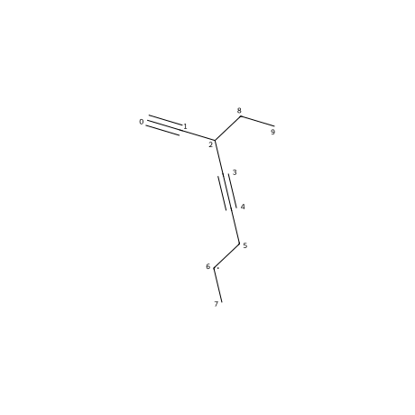 C#CC(C#CC[CH]C)CC